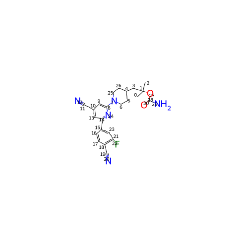 CC(C)(CC1CCN(c2cc(C#N)cc(-c3ccc(C#N)c(F)c3)n2)CC1)OC(N)=O